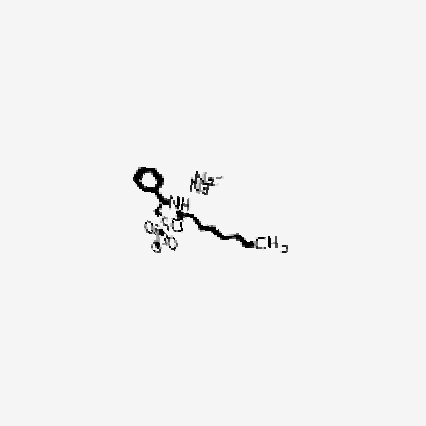 CCCCCCCC(=O)N[C@@H](CSP(=O)([O-])[O-])c1ccccc1.[Na+].[Na+]